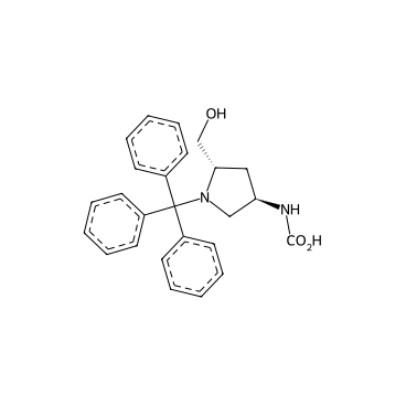 O=C(O)N[C@@H]1C[C@@H](CO)N(C(c2ccccc2)(c2ccccc2)c2ccccc2)C1